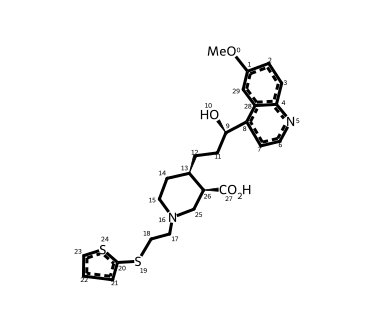 COc1ccc2nccc([C@H](O)CC[C@@H]3CCN(CCSc4cccs4)C[C@@H]3C(=O)O)c2c1